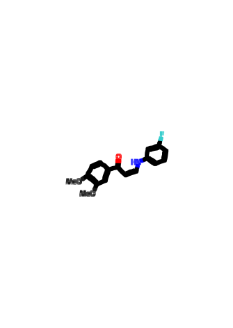 COc1ccc(C(=O)/C=C\Nc2cccc(F)c2)cc1OC